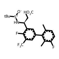 Cc1ccc(F)c(C)c1-c1cc([C@H](CC(=O)O)N[S+]([O-])C(C)(C)C)c(F)c(C(F)(F)F)c1